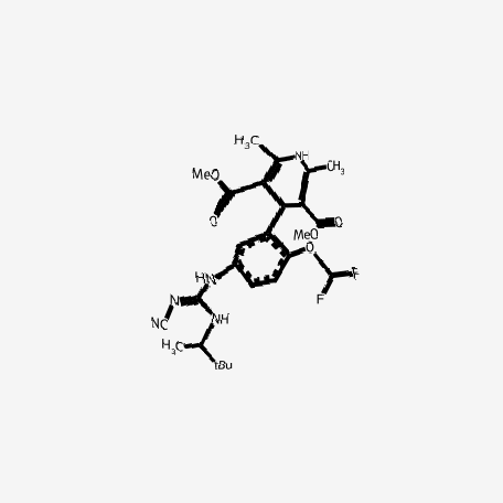 COC(=O)C1=C(C)NC(C)=C(C(=O)OC)C1c1cc(NC(=NC#N)NC(C)C(C)(C)C)ccc1OC(F)F